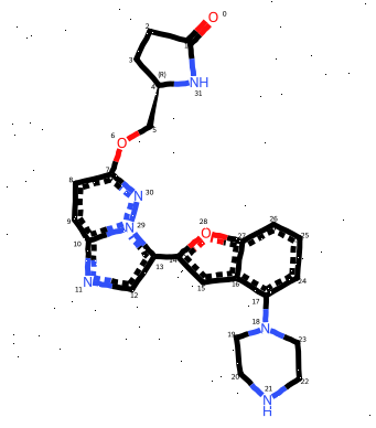 O=C1CC[C@H](COc2ccc3ncc(-c4cc5c(N6CCNCC6)cccc5o4)n3n2)N1